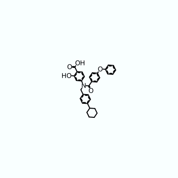 O=C(O)c1ccc(N(Cc2ccc(C3CCCCC3)cc2)C(=O)c2ccc(Oc3ccccc3)cc2)cc1O